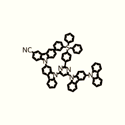 N#Cc1ccc2c(c1)c1ccccc1n2-c1ccc2c3ccccc3n(-c3cc(-n4c5ccccc5c5cc(-n6c7ccccc7c7ccccc76)ccc54)nc(-c4ccc(S(c5ccccc5)(c5ccccc5)c5ccccc5)cc4)n3)c2c1